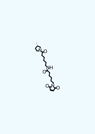 C[C@H]1CCN(C(=O)CCCCCNC(=O)CCCCCN2C(=O)C=CC2=O)C1